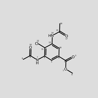 COC(=O)c1cc(NC(C)=O)c(Cl)c(NC(C)=O)c1